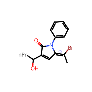 CCCC(O)C1=C/C(=C(\C)Br)N(c2ccccc2)C1=O